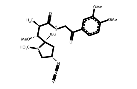 COc1ccc(C(=O)CNC(=O)[C@H](C)[C@@H](OC)[C@@]2(C(C)(C)C)C[C@H](N=[N+]=[N-])CN2C(=O)O)cc1OC